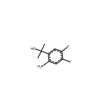 CC(C)(O)c1cc(F)c(F)cc1N